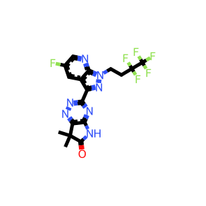 CC1(C)C(=O)Nc2nc(-c3nn(CCC(F)(F)C(F)(F)F)c4ncc(F)cc34)nnc21